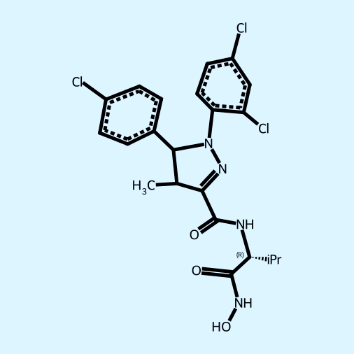 CC1C(C(=O)N[C@@H](C(=O)NO)C(C)C)=NN(c2ccc(Cl)cc2Cl)C1c1ccc(Cl)cc1